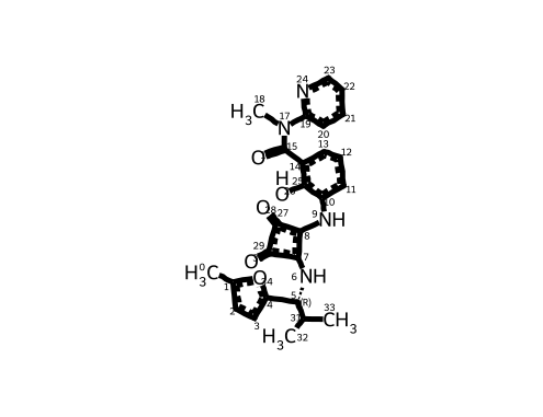 Cc1ccc([C@H](Nc2c(Nc3cccc(C(=O)N(C)c4ccccn4)c3O)c(=O)c2=O)C(C)C)o1